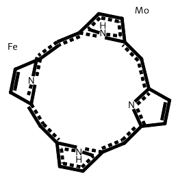 C1=Cc2cc3ccc(cc4nc(cc5ccc(cc1n2)[nH]5)C=C4)[nH]3.[Fe].[Mo]